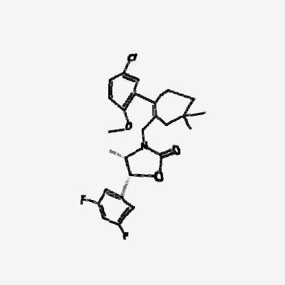 COc1ccc(Cl)cc1C1=C(CN2C(=O)O[C@H](c3cc(F)cc(F)c3)[C@@H]2C)CC(C)(C)CC1